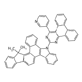 CC1(C)c2ccccc2-c2ccc3c(c21)c1ccccc1c1c3c2ccccc2n1-c1nc(-c2cccnc2)c2c3ccccc3c3ccccc3c2n1